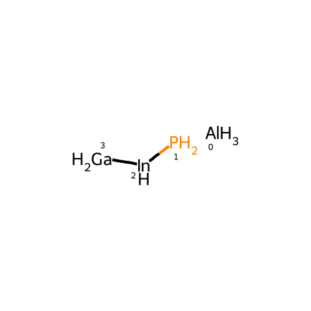 [AlH3].[PH2][InH][GaH2]